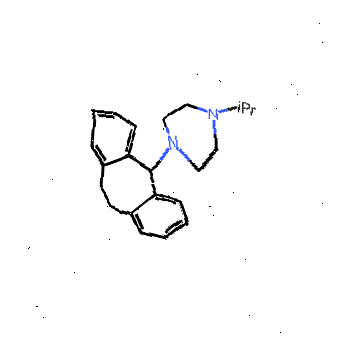 CC(C)N1CCN(C2c3ccccc3CCc3ccccc32)CC1